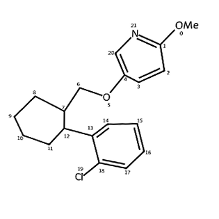 COc1ccc(OCC2CCCCC2c2ccccc2Cl)cn1